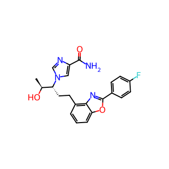 C[C@H](O)[C@@H](CCc1cccc2oc(-c3ccc(F)cc3)nc12)n1cnc(C(N)=O)c1